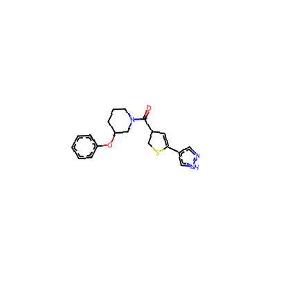 O=C(C1C=C(c2cn[nH]c2)SC1)N1CCCC(Oc2ccccc2)C1